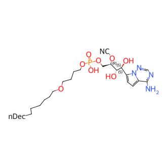 CCCCCCCCCCCCCCCCOCCCCOP(=O)(O)OC[C@@H](OC#N)[C@@H](O)[C@@H](O)c1ccc2c(N)ncnn12